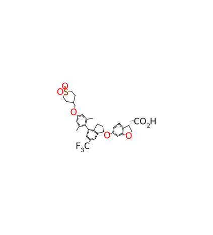 Cc1cc(OCC2CCS(=O)(=O)CC2)cc(C)c1-c1cc(C(F)(F)F)cc2c1CCC2Oc1ccc2c(c1)OC[C@H]2CC(=O)O